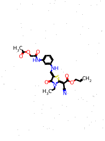 C=CCOC(=O)C(C#N)=c1sc(=CNc2cccc(NC(=O)COC(C)=O)c2)c(=O)n1CC